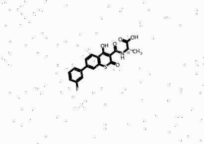 C[C@H](NC(=O)c1c(O)c2ccc(-c3cccc(F)c3)cc2sc1=O)C(=O)O